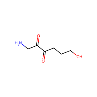 NCC(=O)C(=O)CCCO